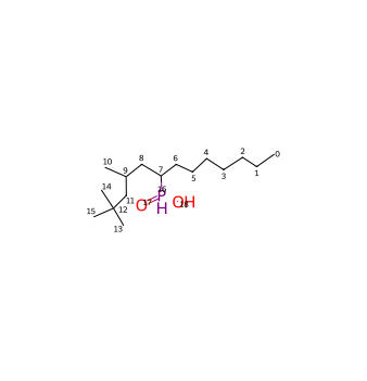 CCCCCCCC(CC(C)CC(C)(C)C)[PH](=O)O